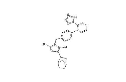 CCCCc1cn(C2CC3CCC2C3)c(=O)n1Cc1ccc(-c2ccccc2-c2nnn[nH]2)cc1